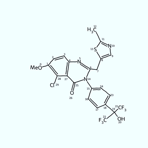 COc1ccc2nc(Cc3cnc(C)s3)n(-c3ccc(C(O)(C(F)(F)F)C(F)(F)F)cc3)c(=O)c2c1Cl